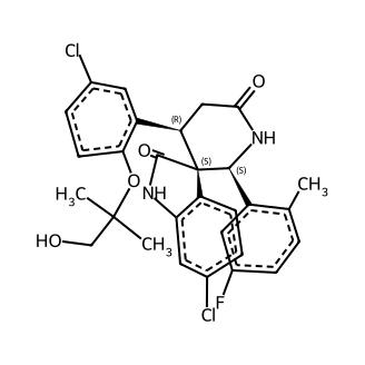 Cc1ccc(F)cc1[C@@H]1NC(=O)C[C@H](c2cc(Cl)ccc2OC(C)(C)CO)[C@@]12C(=O)Nc1cc(Cl)ccc12